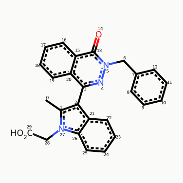 Cc1c(-c2nn(Cc3ccccc3)c(=O)c3ccccc23)c2ccccc2n1CC(=O)O